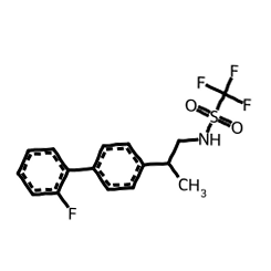 CC(CNS(=O)(=O)C(F)(F)F)c1ccc(-c2ccccc2F)cc1